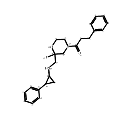 O=C(CCc1ccccc1)N1CCOC(F)(CNC2CC2c2ccccc2)C1